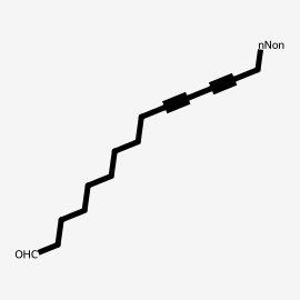 CCCCCCCCCCC#CC#CCCCCCCCCC=O